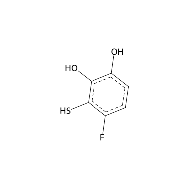 Oc1ccc(F)c(S)c1O